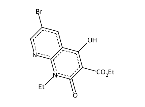 CCOC(=O)c1c(O)c2cc(Br)cnc2n(CC)c1=O